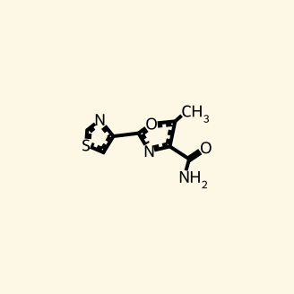 Cc1oc(-c2cscn2)nc1C(N)=O